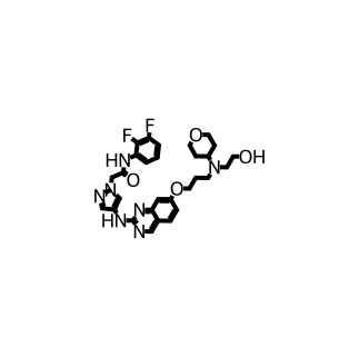 O=C(Cn1cc(Nc2ncc3ccc(OCCCN(CCO)C4CCOCC4)cc3n2)cn1)Nc1cccc(F)c1F